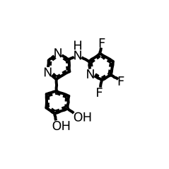 Oc1ccc(-c2cc(Nc3nc(F)c(F)cc3F)ncn2)cc1O